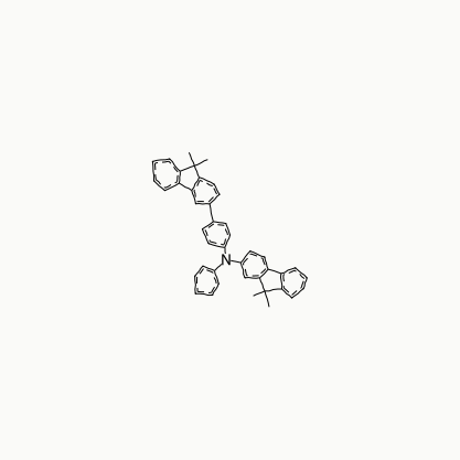 CC1(C)c2ccccc2-c2cc(-c3ccc(N(c4ccccc4)c4ccc5c(c4)C(C)(C)c4ccccc4-5)cc3)ccc21